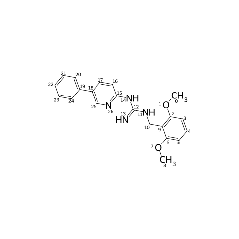 COc1cccc(OC)c1CNC(=N)Nc1ccc(-c2ccccc2)cn1